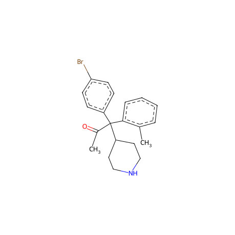 CC(=O)C(c1ccc(Br)cc1)(c1ccccc1C)C1CCNCC1